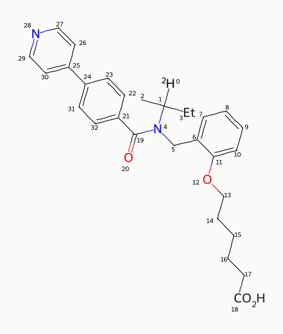 [2H]C(C)(CC)N(Cc1ccccc1OCCCCCC(=O)O)C(=O)c1ccc(-c2ccncc2)cc1